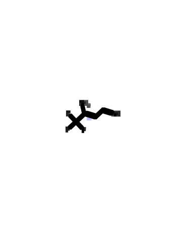 N=C/C=C(\N)C(F)(F)F